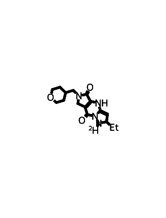 [2H]N1C(CC)C=C2NC3=C(CN(CC4CCOCC4)C3=O)C(=O)N21